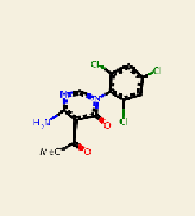 COC(=O)c1c(N)ncn(-c2c(Cl)cc(Cl)cc2Cl)c1=O